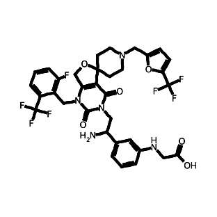 NC(Cn1c(=O)c2c(n(Cc3c(F)cccc3C(F)(F)F)c1=O)COC21CCN(Cc2ccc(C(F)(F)F)o2)CC1)c1cccc(NCC(=O)O)c1